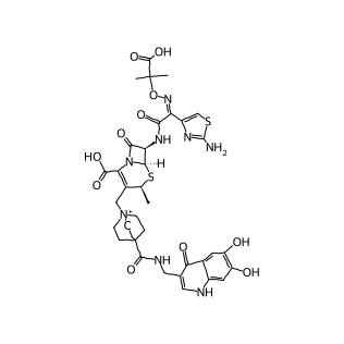 C[C@@H]1S[C@@H]2[C@H](NC(=O)/C(=N\OC(C)(C)C(=O)O)c3csc(N)n3)C(=O)N2C(C(=O)O)=C1C[N+]12CCC(C(=O)NCc3c[nH]c4cc(O)c(O)cc4c3=O)(CC1)CC2